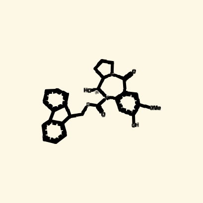 COc1cc2c(cc1O)N(C(=O)OCC1c3ccccc3-c3ccccc31)[C@@H](O)C1CCCN1C2=O